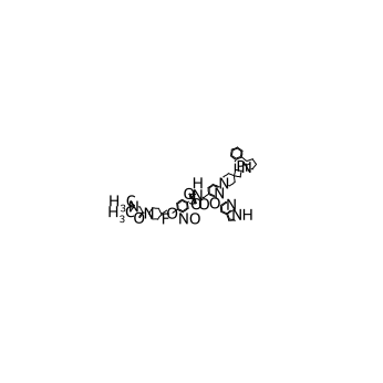 CC(C)c1ccccc1C1CCCN1C1CC2(CCN(c3ccc(C(=O)NS(=O)(=O)c4ccc(OCC5(F)CCN(C(=O)CN(C)C)CC5)c(N=O)c4)c(Oc4cnc5[nH]ccc5c4)n3)CC2)C1